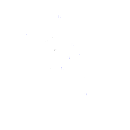 N#Cc1cc(C#N)cc(-c2ccc3c(c2)c2ccccc2n3-c2ccc(-c3ccccc3-n3c4ccccc4c4ccccc43)cc2-c2nc(-c3ccccc3)nc(-c3ccccc3)n2)c1